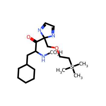 C[Si](C)(C)CCOCC1(C(=O)C(CC2CCCCC2)NC(=O)O)N=CC=N1